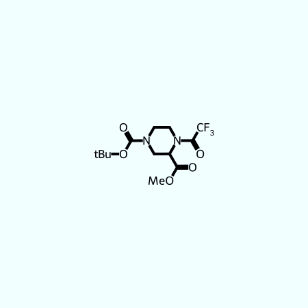 COC(=O)C1CN(C(=O)OC(C)(C)C)CCN1C(=O)C(F)(F)F